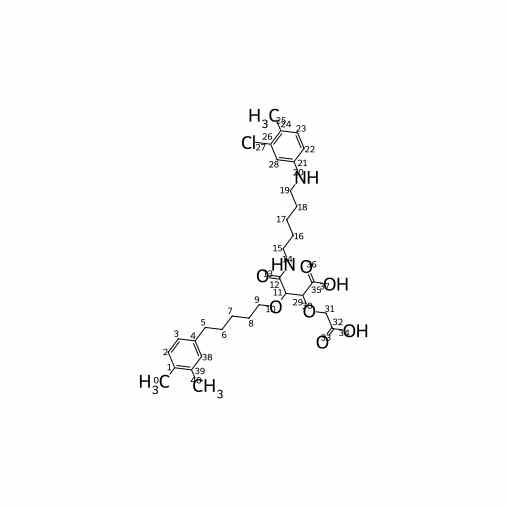 Cc1ccc(CCCCCOC(C(=O)NCCCCCNc2ccc(C)c(Cl)c2)C(OCC(=O)O)C(=O)O)cc1C